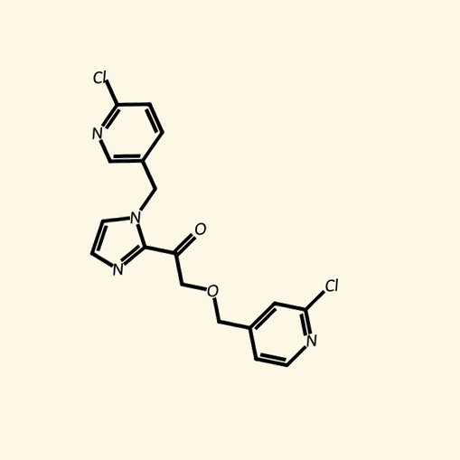 O=C(COCc1ccnc(Cl)c1)c1nccn1Cc1ccc(Cl)nc1